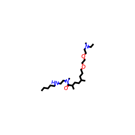 CCCCCNCCN(C)C(=O)C(C)CCC(C)CCCOCCOCCN(C)CC